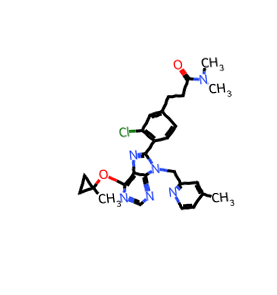 Cc1ccnc(Cn2c(-c3ccc(CCC(=O)N(C)C)cc3Cl)nc3c(OC4(C)CC4)ncnc32)c1